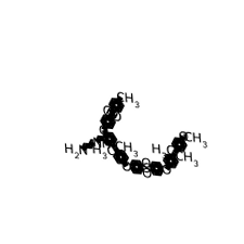 COc1ccc(C(C)(C)c2ccc(Oc3ccc(S(=O)(=O)c4ccc(Oc5ccc(C(C)(C)c6ccc(Oc7ccc(S(=O)(=O)c8ccc(C)cc8)cc7)c(CNCCCN)c6)cc5)cc4)cc3)cc2)cc1